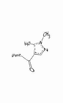 CCCC(C)C(=O)c1cnn(C)c1O